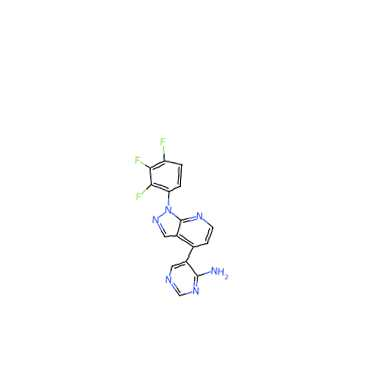 Nc1ncncc1-c1ccnc2c1cnn2-c1ccc(F)c(F)c1F